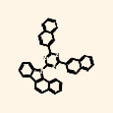 c1ccc2cc(-c3nc(-c4ccc5ccccc5c4)nc(-n4c5ccccc5c5ccc6ccccc6c54)n3)ccc2c1